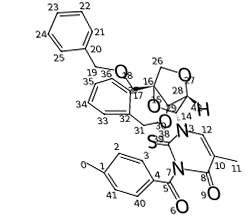 Cc1ccc(C(=O)n2c(=O)c(C)cn([C@@H]3O[C@]4(COCc5ccccc5)CO[C@H]3C4OCc3ccccc3)c2=S)cc1